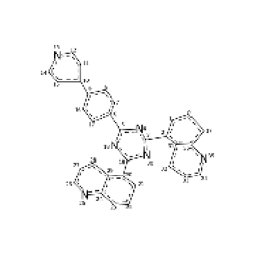 c1cc(-c2nc(-c3ccc(-c4ccncc4)cc3)nc(-c3cccc4ncccc34)n2)c2cccnc2c1